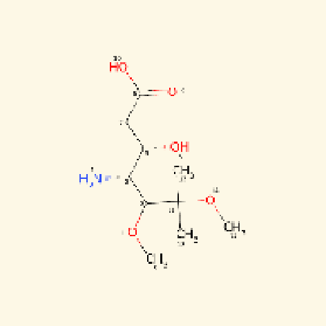 COC([C@H](N)[C@@H](O)CC(=O)O)C(C)(C)OC